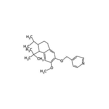 COc1cc2c(cc1OCc1ccncc1)CCC(C(C)C)C2C(C)(C)C